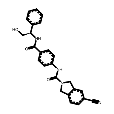 N#Cc1ccc2c(c1)CN(C(=O)Nc1ccc(C(=O)N[C@@H](CO)c3ccccc3)cc1)C2